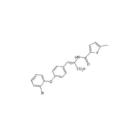 Cc1ccc(C(=O)N/C(=C/c2ccc(Oc3ccccc3Br)cc2)C(=O)O)s1